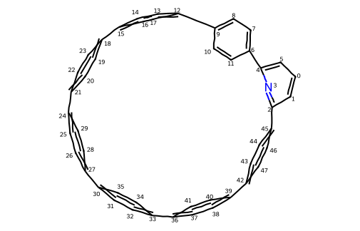 c1cc2nc(c1)-c1ccc(cc1)-c1ccc(cc1)-c1ccc(cc1)-c1ccc(cc1)-c1ccc(cc1)-c1ccc(cc1)-c1ccc-2cc1